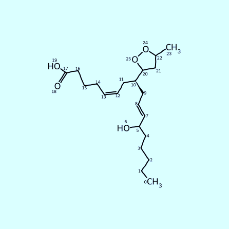 CCCCCC(O)/C=C/C[C@@H](C/C=C\CCCC(=O)O)C1CC(C)OO1